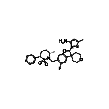 Cc1cc(N)n(C(=O)C2(c3ccc(CN4[C@@H](C)CC[C@H](c5ccccc5)S4(=O)=O)c(F)c3)CCOCC2)n1